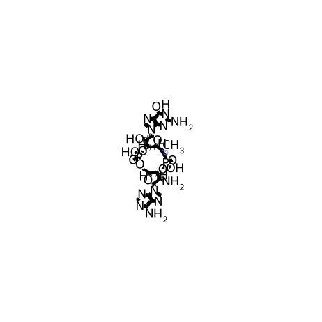 C/C1=C/P(=O)(O)O[C@H]2[C@@H](N)[C@H](n3cnc4c(N)ncnc43)O[C@@H]2COP(=O)(O)O[C@H]2[C@@H](O)[C@H](n3cnc4c(=O)[nH]c(N)nc43)O[C@H]12